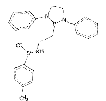 Cc1ccc([S+]([O-])NCCP2N(c3ccccc3)CCN2c2ccccc2)cc1